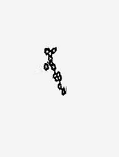 c1ccc(-n2c3cc(-c4ccc5ccc6c(-c7cccc(-c8cccnc8)c7)ccc7ccc4c5c76)ccc3c3cc4c5ccccc5c5ccccc5c4cc32)cc1